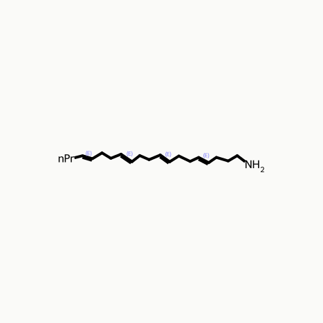 CCC/C=C/CC/C=C/CC/C=C/CC/C=C/CCCN